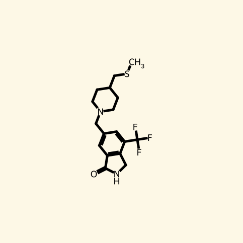 CSCC1CCN(Cc2cc3c(c(C(F)(F)F)c2)CNC3=O)CC1